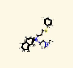 CCN(CC)CCN(CCCSc1ccccc1)c1ccc2ccccc2c1